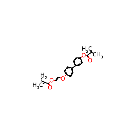 C=C(C)C(=O)O/C=C/Oc1ccc(-c2ccc(OC(=O)C(=C)C)cc2)cc1